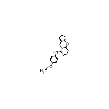 CCOc1ccc(NC2=NCCC(=O)N2CC2=CCCS2)cc1